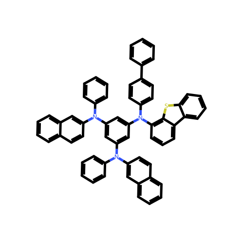 c1ccc(-c2ccc(N(c3cc(N(c4ccccc4)c4ccc5ccccc5c4)cc(N(c4ccccc4)c4ccc5ccccc5c4)c3)c3cccc4c3sc3ccccc34)cc2)cc1